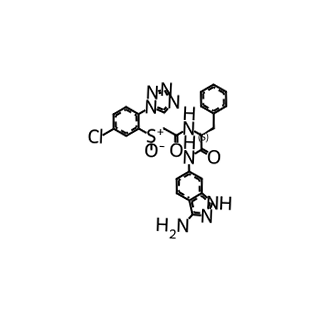 Nc1n[nH]c2cc(NC(=O)[C@H](Cc3ccccc3)NC(=O)C[S+]([O-])c3cc(Cl)ccc3-n3cnnn3)ccc12